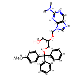 COc1ccc(C(OCC(CO)OCn2cnc3cnc(N(C)C)nc32)(c2ccccc2)c2ccccc2)cc1